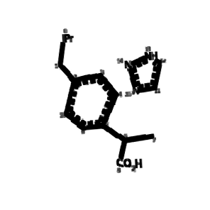 CC(C)Cc1ccc(C(C)C(=O)O)cc1.c1c[nH]nn1